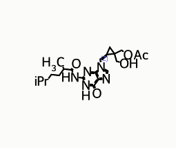 CC(=O)OCC1(CO)C/C1=C/n1cnc2c(=O)[nH]c(NC(=O)C(C)CCC(C)C)nc21